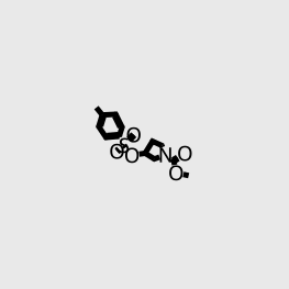 COC(=O)N1CCC(OS(=O)(=O)c2ccc(C)cc2)C1